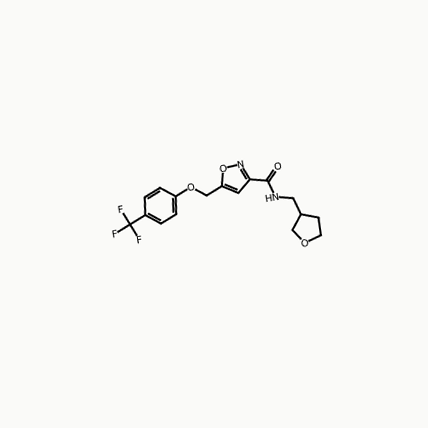 O=C(NCC1CCOC1)c1cc(COc2ccc(C(F)(F)F)cc2)on1